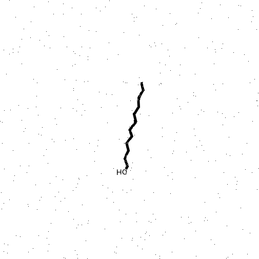 CCCCCCCC[CH]CCCO